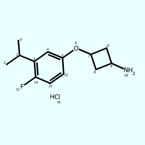 CC(C)c1cc(OC2CC(N)C2)ccc1F.Cl